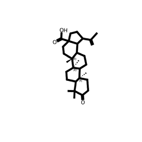 C=C(C)C1CCC2(C(=O)O)CC[C@]3(C)C(CCC4[C@@]5(C)CCC(=O)C(C)(C)C5CC[C@]43C)C12